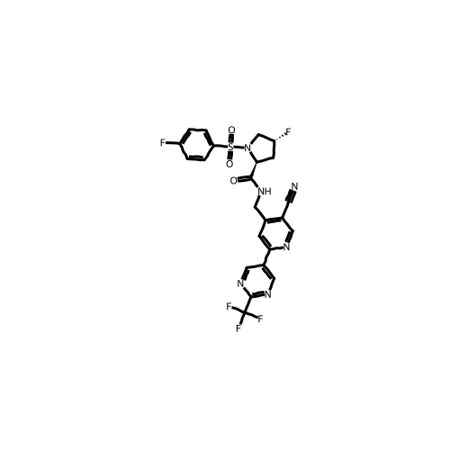 N#Cc1cnc(-c2cnc(C(F)(F)F)nc2)cc1CNC(=O)[C@@H]1C[C@@H](F)CN1S(=O)(=O)c1ccc(F)cc1